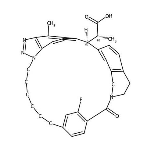 Cc1c2ccc3c1nnn3CCCCCCc1ccc(c(F)c1)C(=O)N1CCc3ccc(cc3C1)[C@@H]2[C@@H](C)C(=O)O